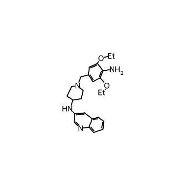 CCOc1cc(CN2CCC(Nc3cnc4ccccc4c3)CC2)cc(OCC)c1N